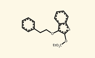 CCOC(=O)Oc1sc2ccccc2c1OCCc1ccccc1